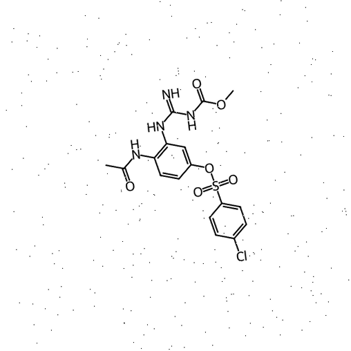 COC(=O)NC(=N)Nc1cc(OS(=O)(=O)c2ccc(Cl)cc2)ccc1NC(C)=O